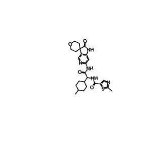 Cc1ncc(C(=O)NC(C(=O)Nc2cc3c(cn2)C2(CCOCC2)C(=O)N3)C2CCC(C)CC2)s1